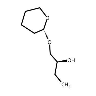 CC[C@H](O)CO[C@@H]1CCCCO1